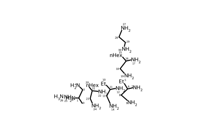 CC(N)CN.CCC(N)CN.CCC(N)CN.CCCCCCC(N)CN.CCCCCCC(N)CN.N.N.NCCN